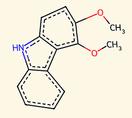 COc1ccc2[nH]c3ccccc3c2c1OC